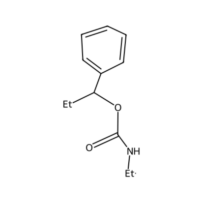 C[CH]NC(=O)OC(CC)c1ccccc1